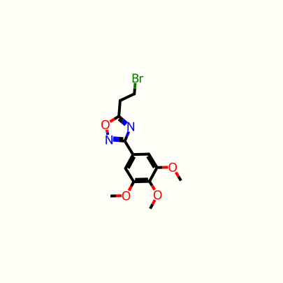 COc1cc(-c2noc(CCBr)n2)cc(OC)c1OC